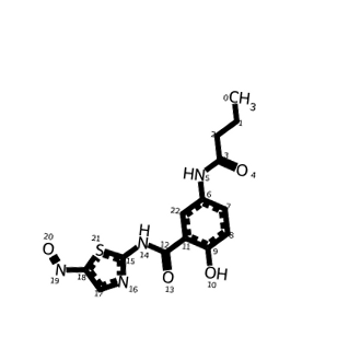 CCCC(=O)Nc1ccc(O)c(C(=O)Nc2ncc(N=O)s2)c1